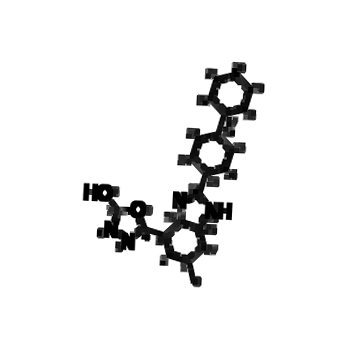 Cc1cc(-c2nnc(O)o2)c2nc(-c3ccc(-c4ccccc4)cc3)[nH]c2c1